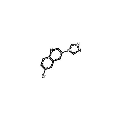 Brc1ccc2ncc(-n3cnnc3)cc2c1